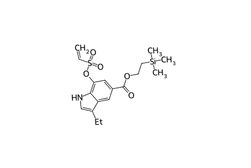 C=CS(=O)(=O)Oc1cc(C(=O)OCC[Si](C)(C)C)cc2c(CC)c[nH]c12